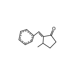 CC1CCC(=O)C1=Cc1ccccc1